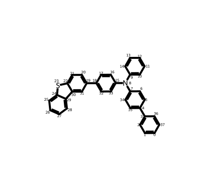 c1ccc(-c2ccc(N(c3ccccc3)c3ccc(-c4ccc5sc6ccccc6c5c4)cc3)cc2)cc1